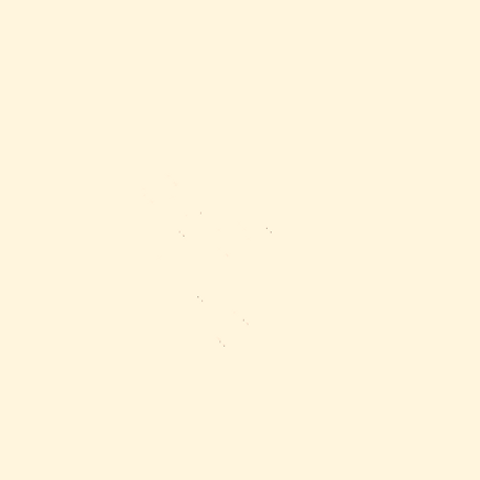 Cc1ncc(NC(=O)C2CC3CCCC3N(C(=O)c3c(C)cccc3F)C2c2ccc(NC3CCCC3)cc2)cn1